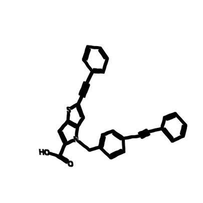 O=C(O)c1cc2sc(C#Cc3ccccc3)cc2n1Cc1ccc(C#Cc2ccccc2)cc1